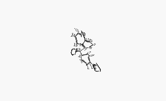 Clc1ccc(C(Cl)c2cccc3ncccc23)cc1